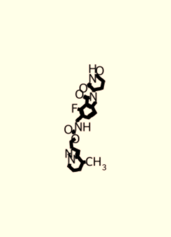 CC1CCCn2nc(COC(=O)NCc3ccc4c(c3F)C(=O)N(C3CCC(=O)NC3=O)C4)cc21